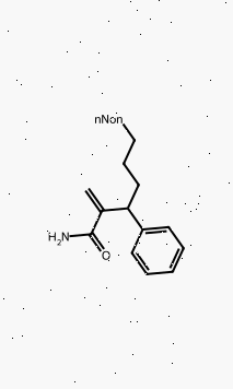 C=C(C(N)=O)C(CCCCCCCCCCCC)c1ccccc1